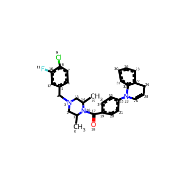 CC1CN(Cc2ccc(Cl)c(F)c2)CC(C)N1C(=O)c1ccc(N2C=CCc3ccccc32)cc1